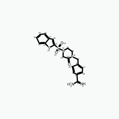 N=C(N)c1ccc(CN2CCN(S(=O)(=O)c3cc4ccccc4s3)CC2=O)cc1